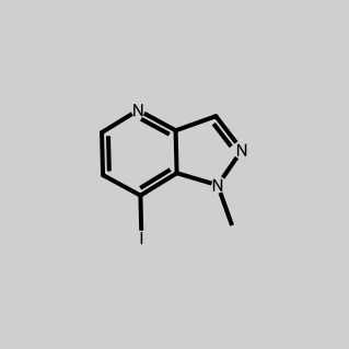 Cn1ncc2nccc(I)c21